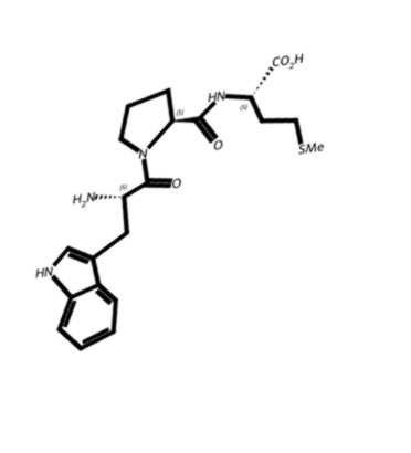 CSCC[C@H](NC(=O)[C@@H]1CCCN1C(=O)[C@@H](N)Cc1c[nH]c2ccccc12)C(=O)O